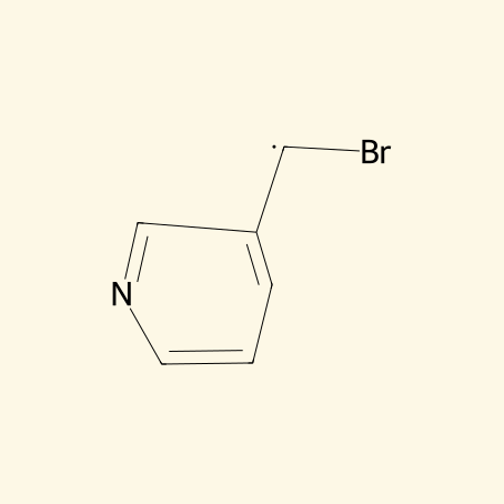 Br[CH]c1cccnc1